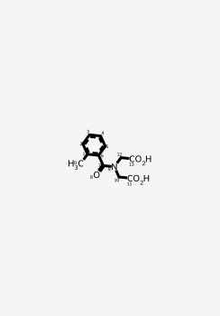 Cc1ccccc1C(=O)N(CC(=O)O)CC(=O)O